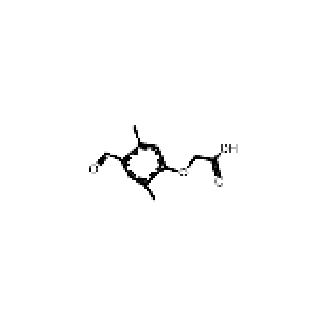 Cc1cc(OCC(=O)O)c(C)cc1C=O